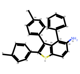 Cc1ccc(-c2sc3ccc(N)c(-c4ccccc4)c3c2-c2ccc(C)cc2)cc1